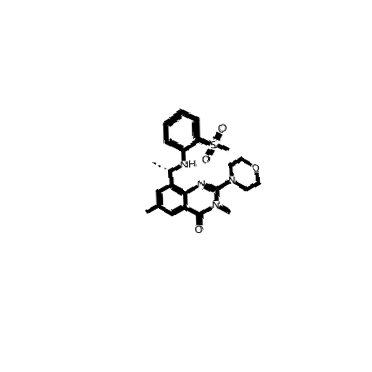 Cc1cc([C@H](C)Nc2ccccc2S(C)(=O)=O)c2nc(N3CCOCC3)n(C)c(=O)c2c1